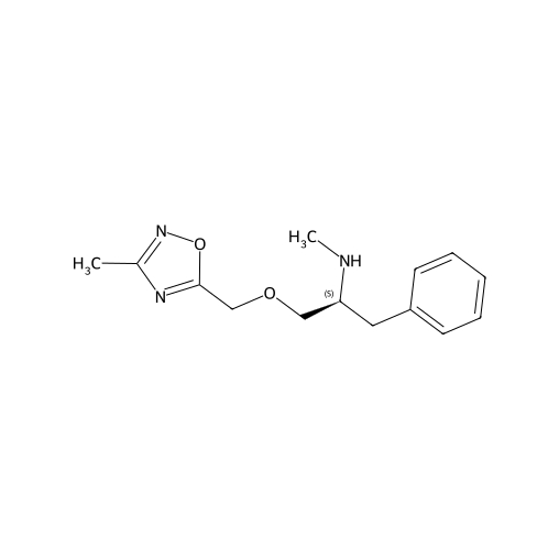 CN[C@H](COCc1nc(C)no1)Cc1ccccc1